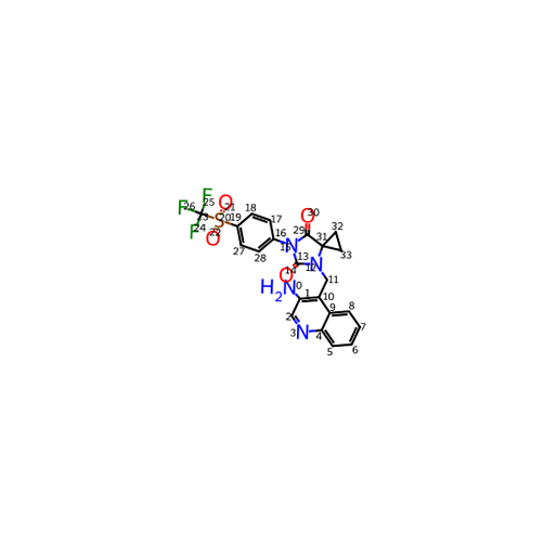 Nc1cnc2ccccc2c1CN1C(=O)N(c2ccc(S(=O)(=O)C(F)(F)F)cc2)C(=O)C12CC2